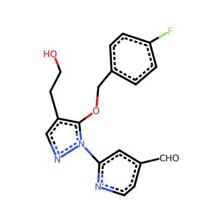 O=Cc1ccnc(-n2ncc(CCO)c2OCc2ccc(F)cc2)c1